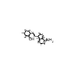 Nc1ncnc2c(/C=C/c3ccccc3O)csc12